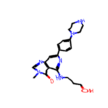 Cn1cnc2cc(-c3ccc(N4CCNCC4)cc3)nc(NCCCO)c2c1=O